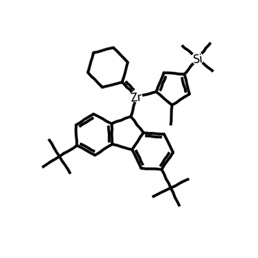 CC1C=C([Si](C)(C)C)C=[C]1[Zr](=[C]1CCCCC1)[CH]1c2ccc(C(C)(C)C)cc2-c2cc(C(C)(C)C)ccc21